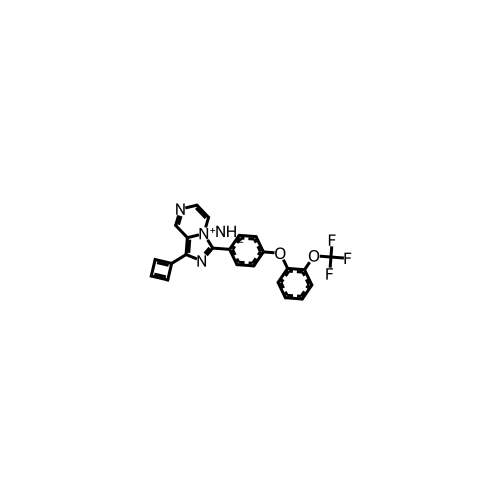 N[N+]12C=CN=CC1=C(C1=CC=C1)N=C2c1ccc(Oc2ccccc2OC(F)(F)F)cc1